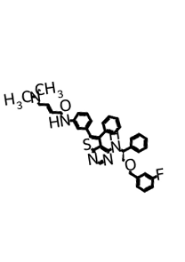 CN(C)C/C=C/C(=O)Nc1cccc(-c2sc3ncnc(N[C@H](COCc4cccc(F)c4)c4ccccc4)c3c2-c2ccccc2)c1